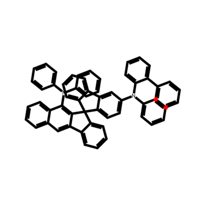 c1ccc(-c2ccccc2N(c2ccccc2)c2ccc3c(c2)-c2ccccc2C32c3ccccc3-c3cc4ccccc4c(N(c4ccccc4)c4ccccc4)c32)cc1